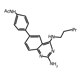 CC(=O)Nc1ccc(-c2ccc3nc(N)nc(NCCC(C)C)c3c2)cc1